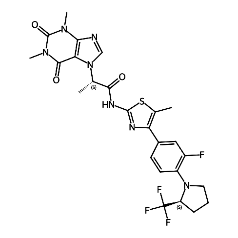 Cc1sc(NC(=O)[C@H](C)n2cnc3c2c(=O)n(C)c(=O)n3C)nc1-c1ccc(N2CCC[C@H]2C(F)(F)F)c(F)c1